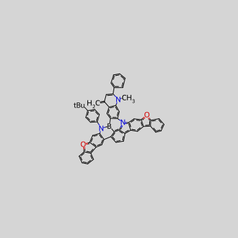 C=C1C=C(c2ccccc2)N(C)c2cc3c(cc21)B1c2c(ccc4c5cc6c(cc5n-3c24)oc2ccccc26)-c2cc3c(cc2N1c1ccc(C(C)(C)C)cc1)oc1ccccc13